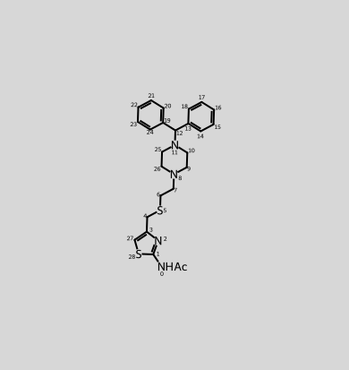 CC(=O)Nc1nc(CSCCN2CCN(C(c3ccccc3)c3ccccc3)CC2)cs1